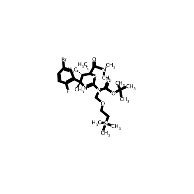 C[C@@H]1[C@@](C)(C(=O)N(C)C)SC(N(COCC[Si](C)(C)C)C(=O)OC(C)(C)C)=N[C@]1(C)c1cc(Br)ccc1F